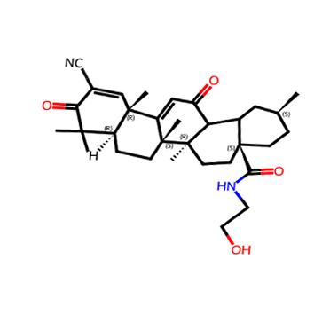 C[C@H]1CC[C@]2(C(=O)NCCO)CC[C@]3(C)C(C(=O)C=C4[C@@]5(C)C=C(C#N)C(=O)C(C)(C)[C@@H]5CC[C@]43C)C2C1